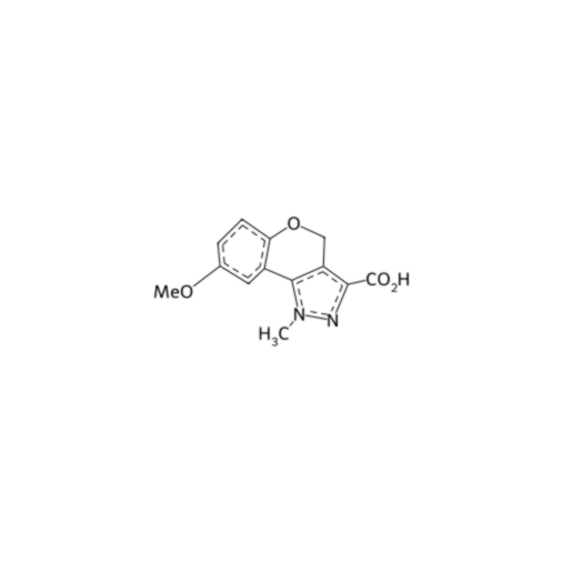 COc1ccc2c(c1)-c1c(c(C(=O)O)nn1C)CO2